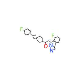 O=C(CC1c2c(F)cccc2-c2cncn21)C1CCC2(CC1)CC(c1ccc(F)cc1)C2